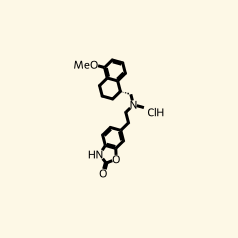 COc1cccc2c1CCC[C@H]2CN(C)CCc1ccc2[nH]c(=O)oc2c1.Cl